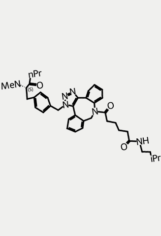 CCCC(=O)[C@H](Cc1ccc(Cn2nnc3c2-c2ccccc2CN(C(=O)CCCCC(=O)NCCC(C)C)c2ccccc2-3)cc1)NC